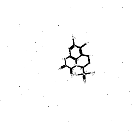 O=c1[nH]c2cc(C(F)(F)F)c(I)c3c2n(c1=O)C(P(=O)(O)O)CC3